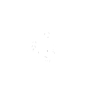 CC(=O)OCC(=O)C(CC(=O)O)NC(=O)C(C)CSCCCc1ccccc1.c1ccc2ccccc2c1